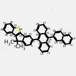 CC1(C)c2ccc(-c3c4ccccc4c(-c4ccc5ccccc5c4)c4ccccc34)cc2-c2sc3ccccc3c21